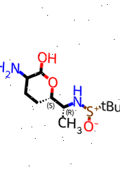 C[C@@H](N[S+]([O-])C(C)(C)C)[C@@H]1CCC(N)C(O)O1